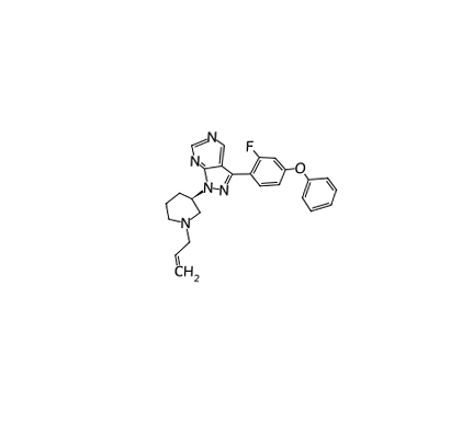 C=CCN1CCC[C@@H](n2nc(-c3ccc(Oc4ccccc4)cc3F)c3cncnc32)C1